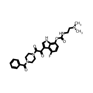 CN(C)CCNC(=O)Oc1ccc(F)c2c(C(=O)C(=O)N3CCN(C(=O)c4ccccc4)CC3)c[nH]c12